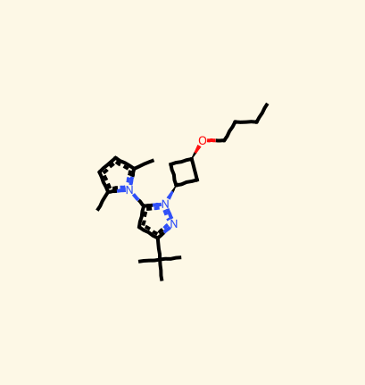 CCCCO[C@H]1C[C@@H](n2nc(C(C)(C)C)cc2-n2c(C)ccc2C)C1